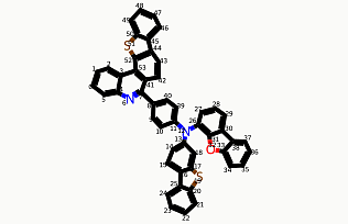 c1ccc2c(c1)nc(-c1ccc(N(c3ccc4c(c3)sc3ccccc34)c3cccc4c3oc3ccccc34)cc1)c1ccc3c4ccccc4sc3c12